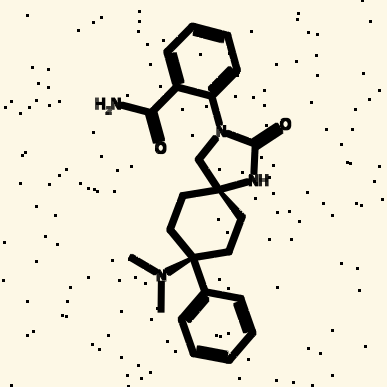 CN(C)[C@]1(c2ccccc2)CC[C@@]2(CC1)CN(c1ccccc1C(N)=O)C(=O)N2